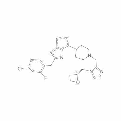 Fc1cc(Cl)ccc1Cc1nc2c(C3CCN(Cc4nccn4C[C@@H]4CCO4)CC3)cccc2s1